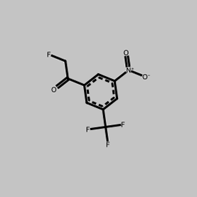 O=C(CF)c1cc([N+](=O)[O-])cc(C(F)(F)F)c1